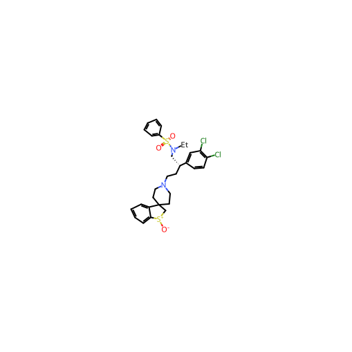 CCN(C[C@@H](CCN1CCC2(CC1)C[S+]([O-])c1ccccc12)c1ccc(Cl)c(Cl)c1)S(=O)(=O)c1ccccc1